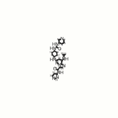 O=C(Nc1cccnc1)NC1CCC(Nc2cc(NC3CC3)c3ncc(C(=O)Nc4ccncn4)n3n2)CC1